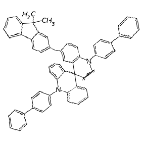 CC1(C)c2ccccc2-c2ccc(-c3ccc4c(c3)C3(c5ccccc5N(c5ccc(-c6ccccc6)cc5)c5ccccc53)c3ccccc3N4c3ccc(-c4ccccc4)cc3)cc21